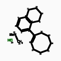 C1=C(c2cccc3c2CCCC3)CCCCCC1.CNC.Cl